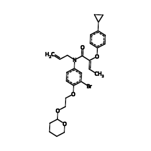 C=CCN(C(=O)/C(=C/C)Oc1ccc(C2CC2)cc1)c1ccc(OCCOC2CCCCO2)c(Br)c1